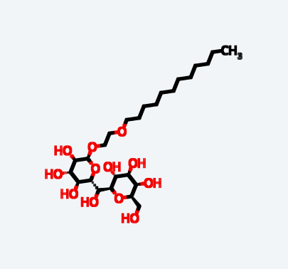 CCCCCCCCCCCCOCCO[C@H]1O[C@H](C(O)[C@@H]2O[C@H](CO)[C@H](O)[C@H](O)[C@H]2O)[C@@H](O)[C@H](O)[C@H]1O